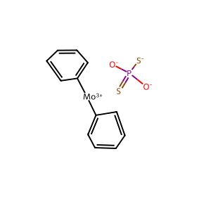 [O-]P([O-])(=S)[S-].c1cc[c]([Mo+3][c]2ccccc2)cc1